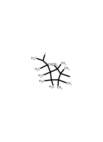 CC(I)C(C)(C)C1(C)C(C)(C)C(C)(C)C(C)(I)C1(C)C